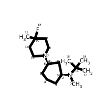 CN([C@H]1CCC[C@@H](N2CCC(C)(F)CC2)C1)C(C)(C)C